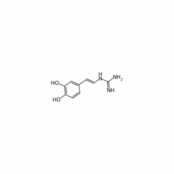 N=C(N)N/C=C/c1ccc(O)c(O)c1